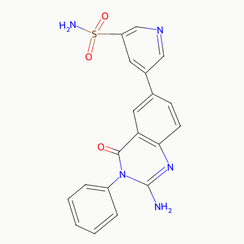 Nc1nc2ccc(-c3cncc(S(N)(=O)=O)c3)cc2c(=O)n1-c1ccccc1